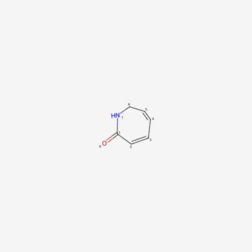 O=C1[C]=CC=CCN1